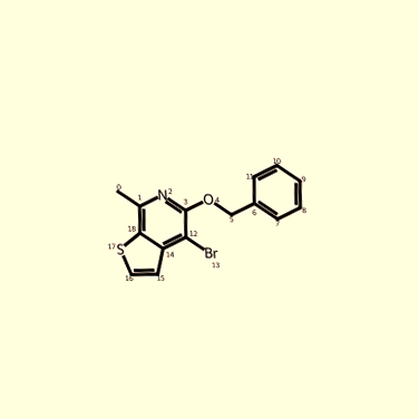 Cc1nc(OCc2ccccc2)c(Br)c2ccsc12